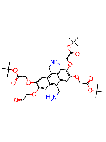 CC(C)(C)OC(=O)COc1cc2c(CN)c3cc(OCC(=O)OC(C)(C)C)c(OCC(=O)OC(C)(C)C)cc3c(CN)c2cc1OCC=O